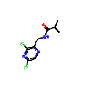 CC(C)C(=O)NCc1ncc(Cl)nc1Cl